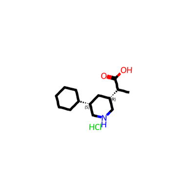 CC(C(=O)O)[C@@H]1CNC[C@H](C2CCCCC2)C1.Cl